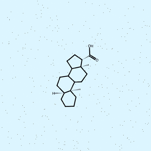 C[C@]12CCC3C(CC[C@@H]4CCCC[C@]34C)C1CC[C@@H]2C(=O)O